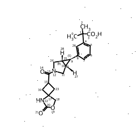 CC(C)(C(=O)O)c1cccc([C@H]2[C@@H]3CN(C(=O)C4CC5(COC(=O)N5)C4)C[C@@H]32)c1